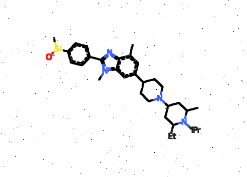 CCC1CC(N2CCC(c3cc(C)c4nc(-c5ccc([S+](C)[O-])cc5)n(C)c4c3)CC2)CC(C)N1C(C)C